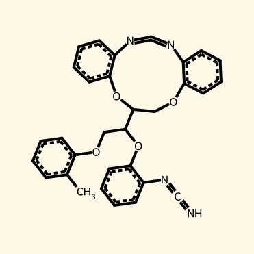 Cc1ccccc1OCC(Oc1ccccc1N=C=N)C1COc2ccccc2N=C=Nc2ccccc2O1